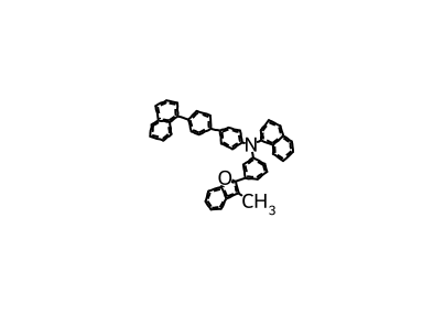 Cc1c(-c2cccc(N(c3ccc(-c4ccc(-c5cccc6ccccc56)cc4)cc3)c3cccc4ccccc34)c2)oc2ccccc12